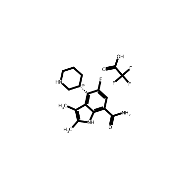 Cc1[nH]c2c(C(N)=O)cc(F)c([C@H]3CCCNC3)c2c1C.O=C(O)C(F)(F)F